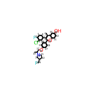 CC1=C(c2ccc(F)c(Cl)c2)C(c2ccc(OCC(C)N3CCC(CF)C3)cc2)Oc2ccc(O)cc21